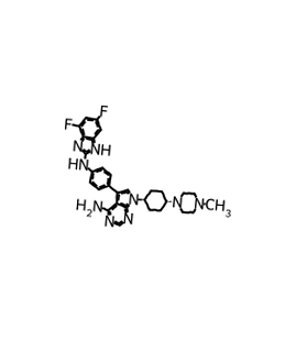 CN1CCN([C@H]2CC[C@H](n3cc(-c4ccc(Nc5nc6c(F)cc(F)cc6[nH]5)cc4)c4c(N)ncnc43)CC2)CC1